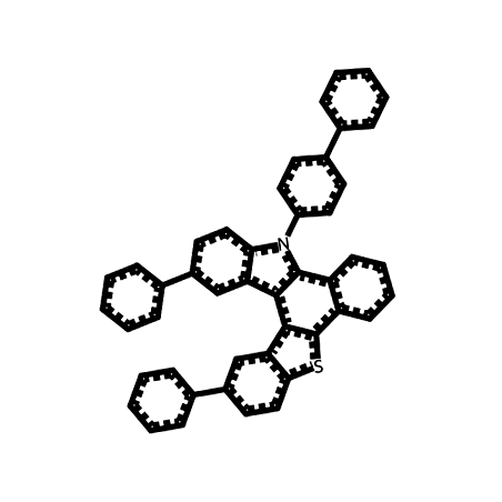 c1ccc(-c2ccc(-n3c4ccc(-c5ccccc5)cc4c4c5c6cc(-c7ccccc7)ccc6sc5c5ccccc5c43)cc2)cc1